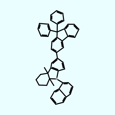 CC12CCCCC1(C)N(c1cccc3ccccc13)c1ccc(-c3ccc4c(c3)-c3ccccc3C4(c3ccccc3)c3ccccc3)cc12